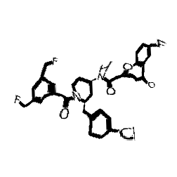 O=C(N[C@H]1CCN(C(=O)c2cc(CF)cc(CF)c2)[C@H](Cc2ccc(Cl)cc2)C1)c1cc(=O)c2cc(F)ccc2o1